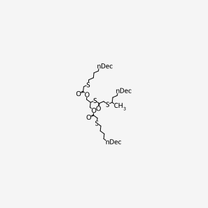 CCCCCCCCCCCCCCSCC(=O)OCC(COC(=O)CSCCCCCCCCCCCCCC)SC(=O)CSC(C)CCCCCCCCCCCC